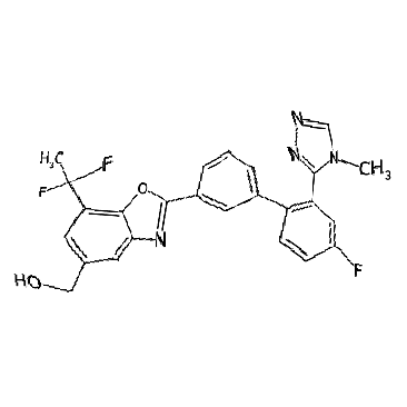 Cn1cnnc1-c1cc(F)ccc1-c1cccc(-c2nc3cc(CO)cc(C(C)(F)F)c3o2)c1